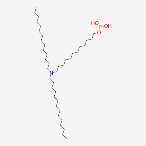 CCCCCCCCCCCCCCN(CCCCCCCCCCCCCC)CCCCCCCCCCCCOP(O)O